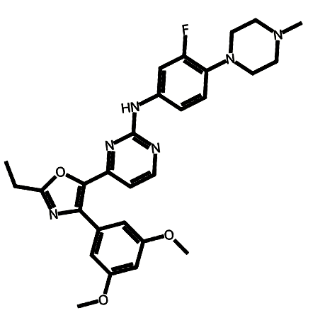 CCc1nc(-c2cc(OC)cc(OC)c2)c(-c2ccnc(Nc3ccc(N4CCN(C)CC4)c(F)c3)n2)o1